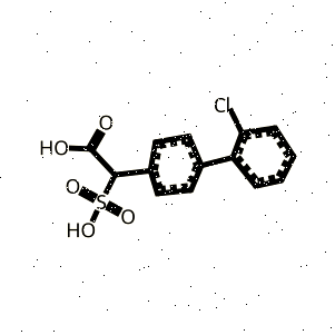 O=C(O)C(c1ccc(-c2ccccc2Cl)cc1)S(=O)(=O)O